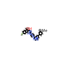 COc1cccc(-c2cc3c(N4CCN(c5ncc([C@@](C)(O)c6ccc(F)cc6)cn5)CC4)ncnn3c2)c1